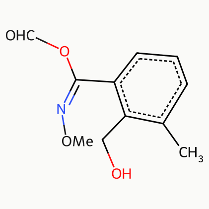 CO/N=C(/OC=O)c1cccc(C)c1CO